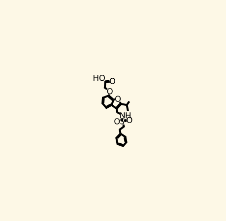 CC(C)c1oc2c(OCC(=O)O)cccc2c1CNS(=O)(=O)CCc1ccccc1